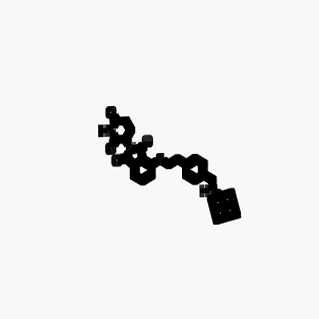 O=C1CCC(N2C(=O)c3cccc(SCCc4ccc(CNC56CC7CC8CC(C5)C876)cc4)c3C2=O)C(=O)N1